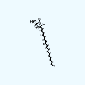 CCCCCCCCCC=CC=CC=CC=CC=CC(=O)N[C@H](C)C(=O)O